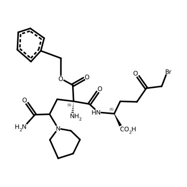 NC(=O)C(C[C@](N)(C(=O)N[C@@H](CCC(=O)CBr)C(=O)O)C(=O)OCc1ccccc1)N1CCCCC1